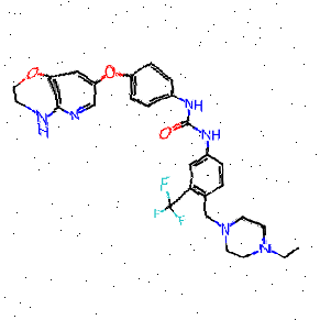 CCN1CCN(Cc2ccc(NC(=O)Nc3ccc(Oc4cnc5c(c4)OCCN5)cc3)cc2C(F)(F)F)CC1